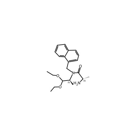 CCOC(OCC)[C@H](C)N(Cc1cccc2ccccc12)C(=O)[C@H](C)N